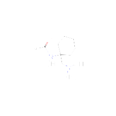 CN(CC1(N(C)C(=O)C(C)(C)C)CCCCC1)C(C)(C)C